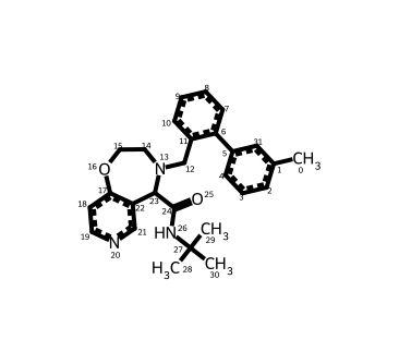 Cc1cccc(-c2ccccc2CN2CCOc3ccncc3C2C(=O)NC(C)(C)C)c1